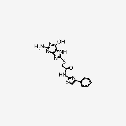 Nc1nc(O)c2[nH]c(SCC(=O)Nc3nc(-c4ccccc4)cs3)nc2n1